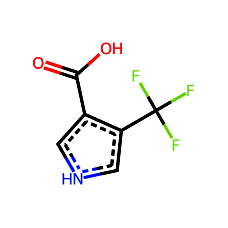 O=C(O)c1c[nH]cc1C(F)(F)F